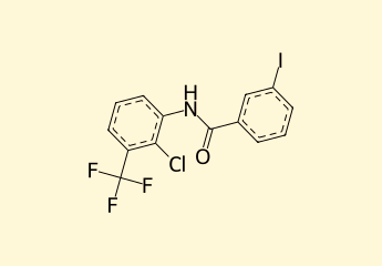 O=C(Nc1cccc(C(F)(F)F)c1Cl)c1cccc(I)c1